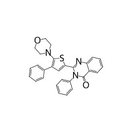 O=c1c2ccccc2nc(-c2cc(-c3ccccc3)c(N3CCOCC3)s2)n1-c1ccccc1